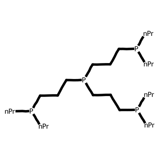 CCCP(CCC)CCCP(CCCP(CCC)CCC)CCCP(CCC)CCC